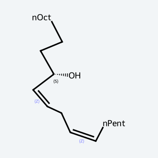 CCCCC/C=C\C/C=C\[C@@H](O)CCCCCCCCCC